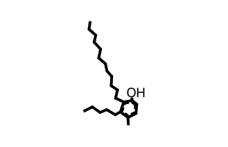 CCCCCCCCCCCCc1c(O)ccc(C)c1CCCCC